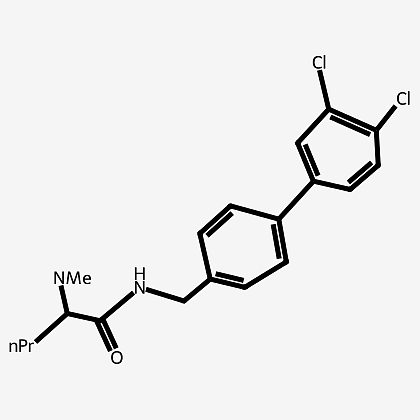 CCCC(NC)C(=O)NCc1ccc(-c2ccc(Cl)c(Cl)c2)cc1